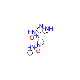 C[C@@H]1CCN(C(=O)NC2CCCC2)C[C@@H]1n1c(=O)[nH]c2cnc3[nH]ccc3c21